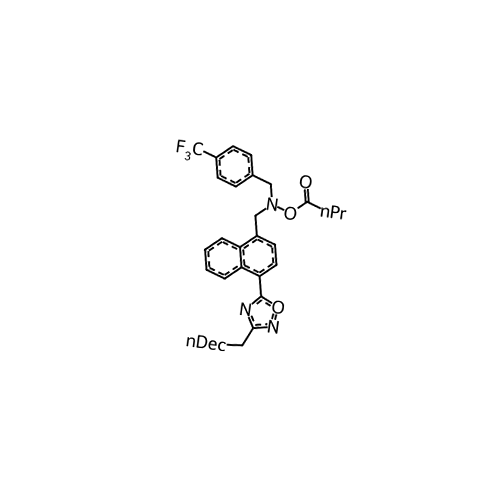 CCCCCCCCCCCc1noc(-c2ccc(CN(Cc3ccc(C(F)(F)F)cc3)OC(=O)CCC)c3ccccc23)n1